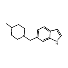 CC1CCN(Cc2ccc3cc[nH]c3c2)CC1